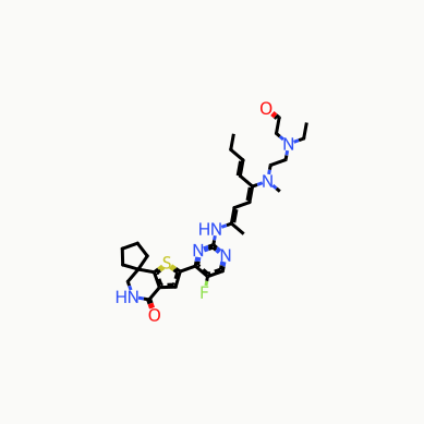 CC/C=C/C(=C\C=C(/C)Nc1ncc(F)c(-c2cc3c(s2)C2(CCCC2)CNC3=O)n1)N(C)CCN(CC)CC=O